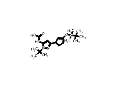 CC(C)(C)n1nc(C2C=C(O[Si](C)(C)C(C)(C)C)CC2)cc1NC(=O)O